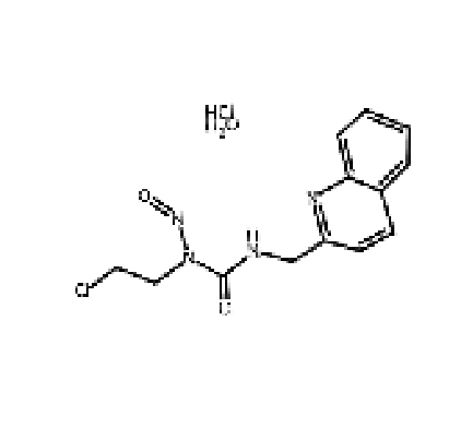 Cl.O.O=NN(CCCl)C(=O)NCc1ccc2ccccc2n1